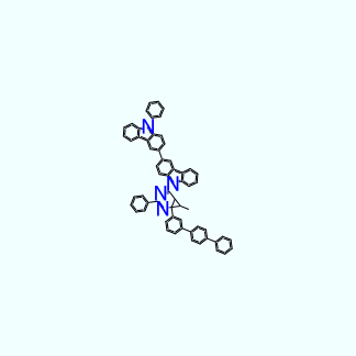 CC1C2C(n3c4ccccc4c4cc(-c5ccc6c(c5)c5ccccc5n6-c5ccccc5)ccc43)=NC(c3ccccc3)=NC12c1cccc(-c2ccc(-c3ccccc3)cc2)c1